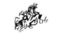 CCC(c1ccc(C(F)(F)F)cc1CN(Cc1cc(C(F)(F)F)cc(C(F)(F)F)c1)c1nnn(C)n1)N1CCC(C(=O)N(CC)CC)CC1